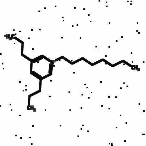 CCCCCCCC[n+]1cc(CCC)cc(CCC)c1